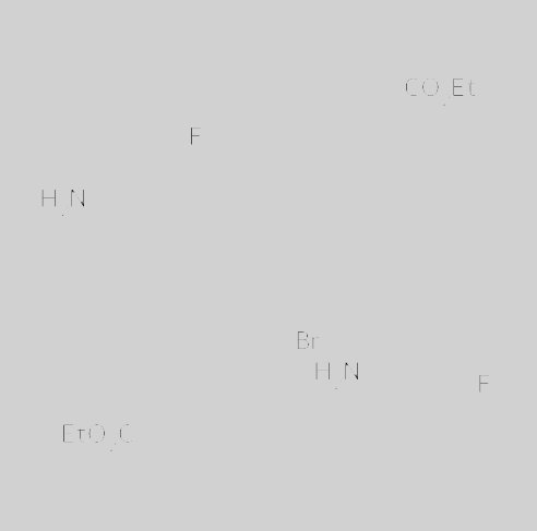 CCOC(=O)Cc1cc(N)c(F)cc1Br.CCOC(=O)Cc1ccc(F)c(N)c1